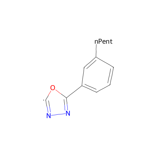 CCCCCc1cccc(-c2nn[c]o2)c1